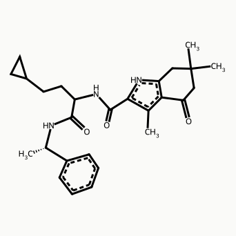 Cc1c(C(=O)NC(CCC2CC2)C(=O)N[C@@H](C)c2ccccc2)[nH]c2c1C(=O)CC(C)(C)C2